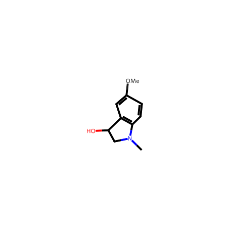 COc1ccc2c(c1)C(O)CN2C